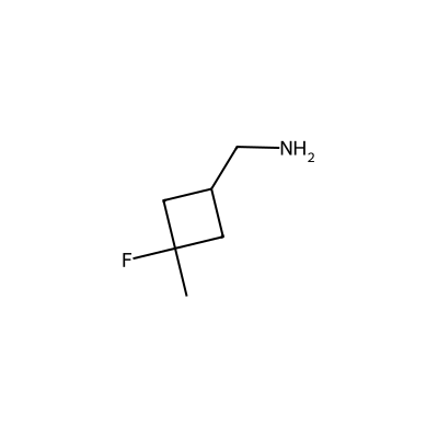 CC1(F)CC(CN)C1